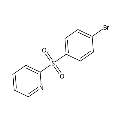 O=S(=O)(c1ccc(Br)cc1)c1ccccn1